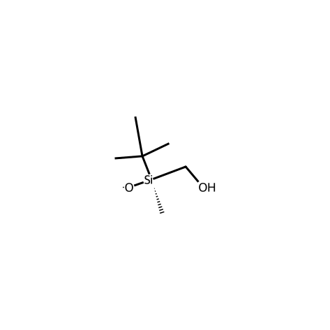 CC(C)(C)[Si@](C)([O])CO